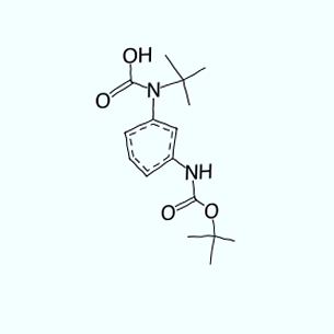 CC(C)(C)OC(=O)Nc1cccc(N(C(=O)O)C(C)(C)C)c1